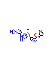 CN1CCN(c2cc(Nc3ncc4c(-c5ccn6ncc(C(=O)Nc7cccnc7)c6c5)c[nH]c4n3)ccn2)CC1